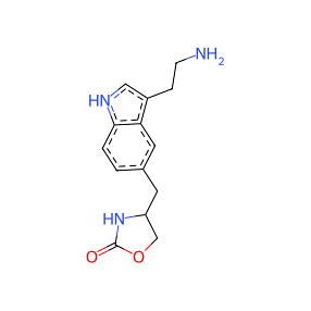 NCCc1c[nH]c2ccc(CC3COC(=O)N3)cc12